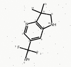 CCCC(F)(F)c1cnc2c(c1)NCC2(C)C